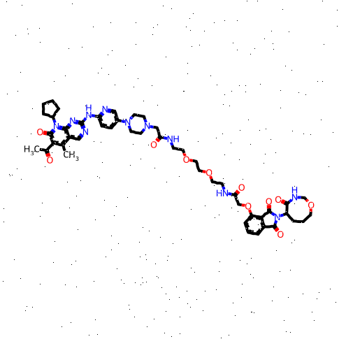 CC(=O)c1c(C)c2cnc(Nc3ccc(N4CCN(CC(=O)NCCOCCOCCNC(=O)COc5cccc6c5C(=O)N(C5CCCOCNC5=O)C6=O)CC4)cn3)nc2n(C2CCCC2)c1=O